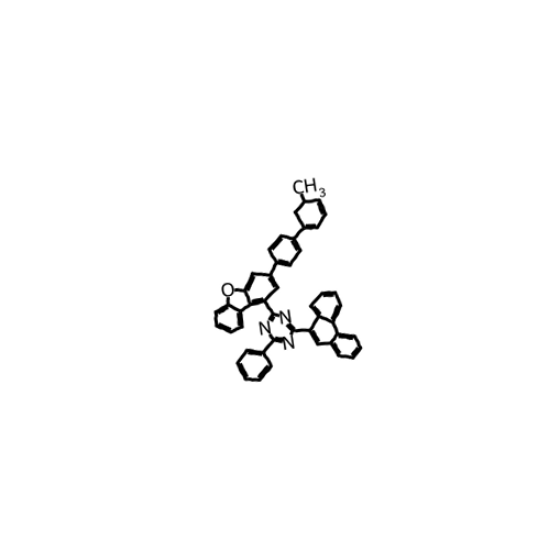 CC1C=CC=C(c2ccc(-c3cc(-c4nc(-c5ccccc5)nc(-c5cc6ccccc6c6ccccc56)n4)c4c(c3)oc3ccccc34)cc2)C1